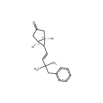 CC(C)(C=CC1[C@H]2CC(=O)C[C@@H]12)Cc1ccccc1